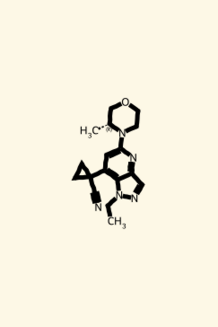 CCn1ncc2nc(N3CCOC[C@H]3C)cc(C3(C#N)CC3)c21